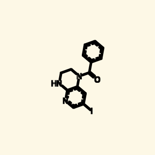 O=C(c1ccccc1)N1CCNc2ncc(I)cc21